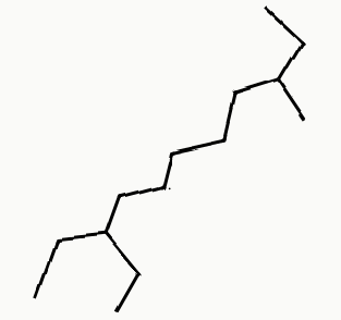 CCC(C)CCC[CH]CC(CC)CC